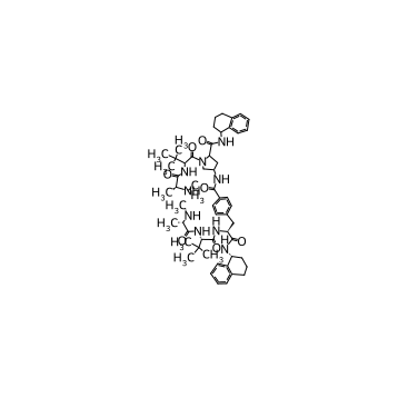 CN[C@@H](C)C(=O)NC(C(=O)N1CC(NC(=O)c2ccc(C[C@H](NC(=O)[C@@H](NC(=O)[C@H](C)NC)C(C)(C)C)C(=O)N[C@@H]3CCCc4ccccc43)cc2)CC1C(=O)NC1CCCc2ccccc21)C(C)(C)C